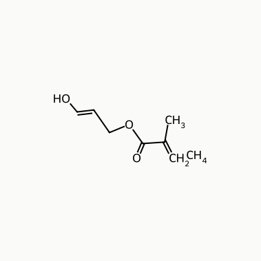 C.C=C(C)C(=O)OCC=CO